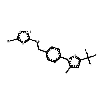 Cc1cc(C(F)(F)F)nn1-c1ccc(CNc2nc(Br)n[nH]2)cc1